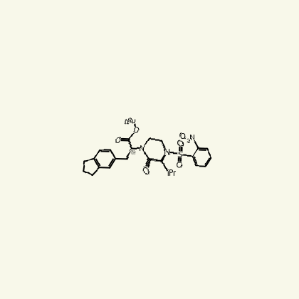 CC(C)C1C(=O)N([C@@H](Cc2ccc3c(c2)CCC3)C(=O)OC(C)(C)C)CCN1S(=O)(=O)c1ccccc1[N+](=O)[O-]